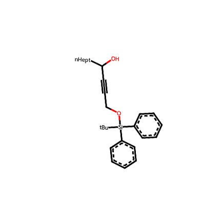 CCCCCCCC(O)C#CCO[Si](c1ccccc1)(c1ccccc1)C(C)(C)C